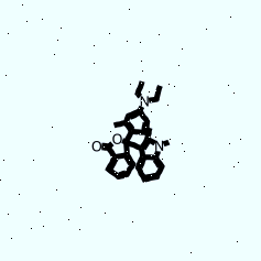 CCN(CC)c1ccc(C2(c3c(C)n(C)c4ccccc34)OC(=O)c3ccccc32)c(C)c1